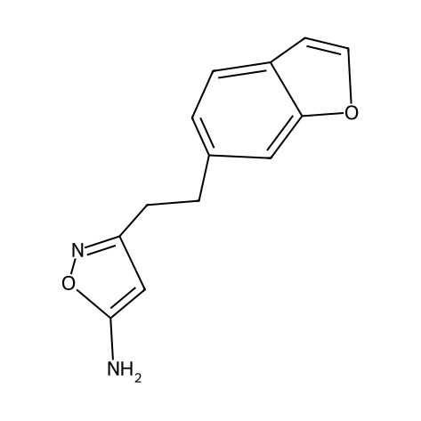 Nc1cc(CCc2ccc3ccoc3c2)no1